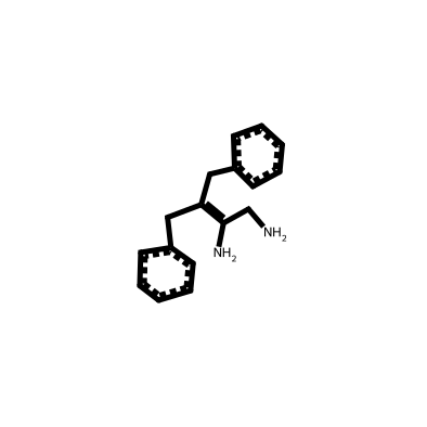 NCC(N)=C(Cc1ccccc1)Cc1ccccc1